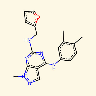 Cc1ccc(Nc2nc(NCc3ccco3)nc3c2cnn3C)cc1C